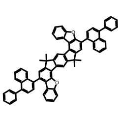 CC1(C)c2cc3c(cc2-c2c1cc(-c1ccc(-c4ccccc4)c4ccccc14)c1c2oc2ccccc21)C(C)(C)c1cc(-c2ccc(-c4ccccc4)c4ccccc24)c2oc4ccccc4c2c1-3